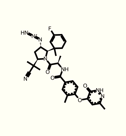 Cc1cc(Oc2ccc(C(=O)N[C@H](C)C(=O)N3[C@H](C4(C)C=C(F)C=CC4)[C@@H](N=[N+]=N)C[C@@H]3C(C)(C)C#N)cc2C)c(=O)[nH]n1